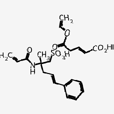 C=CC(=O)NC(C)(CC=Cc1ccccc1)CS(=O)(=O)O.C=COC(=O)CC=CC(=O)O